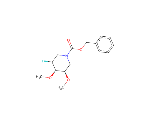 CO[C@H]1[C@@H](F)CN(C(=O)OCc2ccccc2)C[C@H]1OC